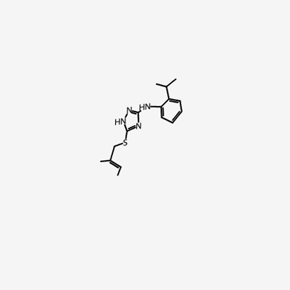 CC=C(C)CSc1nc(Nc2ccccc2C(C)C)n[nH]1